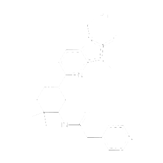 Cn1c(=O)n(CC(C)(C)C)c2ccc(C3CCC(C)(C)C(NC(=O)Cc4ccncc4)C3)nc21